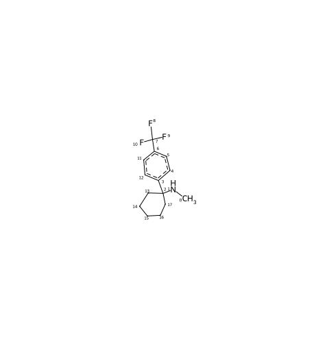 CNC1(c2ccc(C(F)(F)F)cc2)CCCCC1